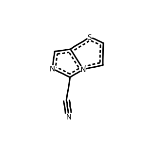 N#Cc1ncc2sccn12